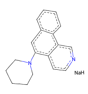 [NaH].c1ccc2c(c1)cc(N1CCCCC1)c1ccncc12